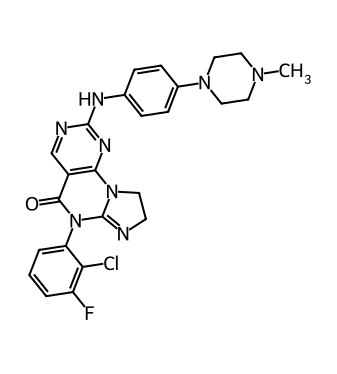 CN1CCN(c2ccc(Nc3ncc4c(n3)N3CCN=C3N(c3cccc(F)c3Cl)C4=O)cc2)CC1